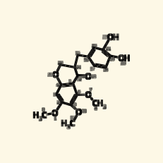 COc1cc2c(c(OC)c1OC)C(=O)C(Cc1ccc(O)c(O)c1)CO2